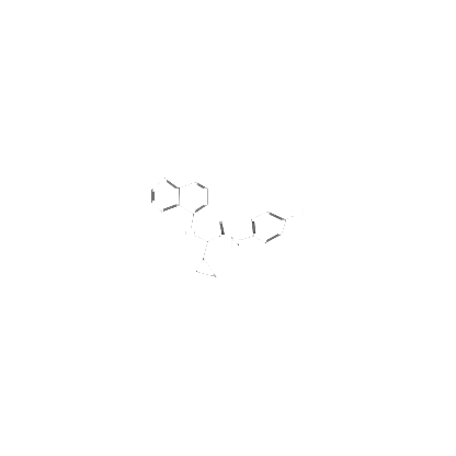 O=C(Nc1ccc(Cl)cc1)C(Oc1cccc2ccccc12)C1CC1